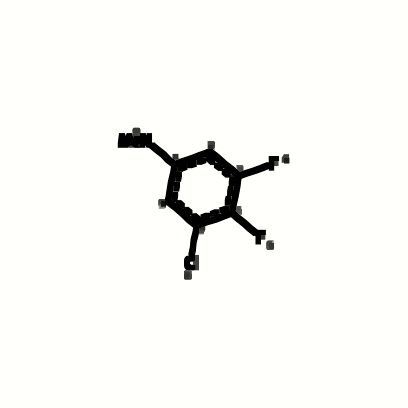 CNc1cc(F)c(F)c(Cl)c1